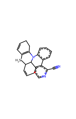 N#Cc1ncccc1-c1ccccc1N1C2=C(C=CCC2)[SiH2]C2C=CCCC21